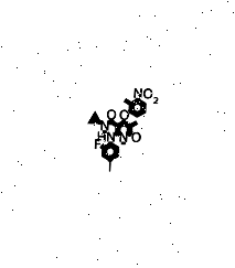 Cc1c(Oc2c(C(=O)N(C)C3CC3)c(Nc3ccc(I)cc3F)n(C)c(=O)c2C)cccc1[N+](=O)[O-]